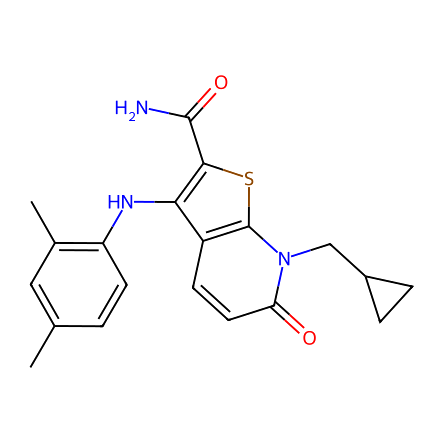 Cc1ccc(Nc2c(C(N)=O)sc3c2ccc(=O)n3CC2CC2)c(C)c1